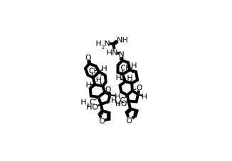 C[C@]12CC/C(=N\NC(=N)N)C[C@H]1CC[C@@H]1[C@@H]2CC[C@@]2(C)[C@@]13O[C@@H]3C[C@]2(O)c1ccoc1.C[C@]12CCC(=O)C[C@H]1CC[C@@H]1[C@@H]2CC[C@@]2(C)[C@@]13O[C@@H]3C[C@]2(O)c1ccoc1